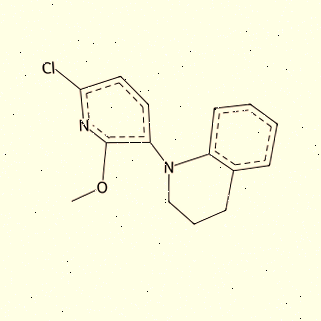 COc1nc(Cl)ccc1N1CCCc2ccccc21